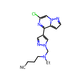 CCN(CCCC#N)Cn1cc(-c2nc(Cl)cn3nccc23)cn1